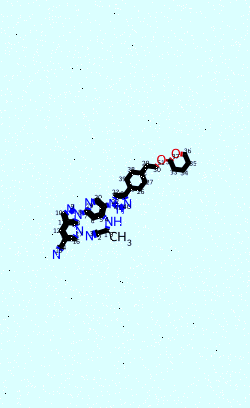 C[C@H](C#N)Nc1cc(-n2ncc3cc(C#N)cnc32)ncc1-n1cc(C2CCC(CCO[C@@H]3CCCCO3)CC2)nn1